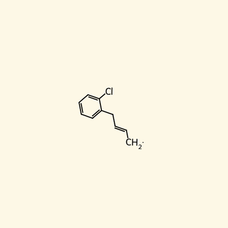 [CH2]C=CCc1ccccc1Cl